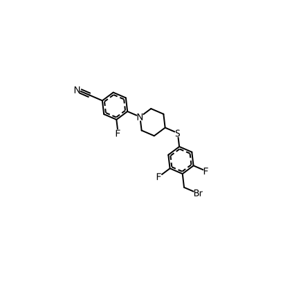 N#Cc1ccc(N2CCC(Sc3cc(F)c(CBr)c(F)c3)CC2)c(F)c1